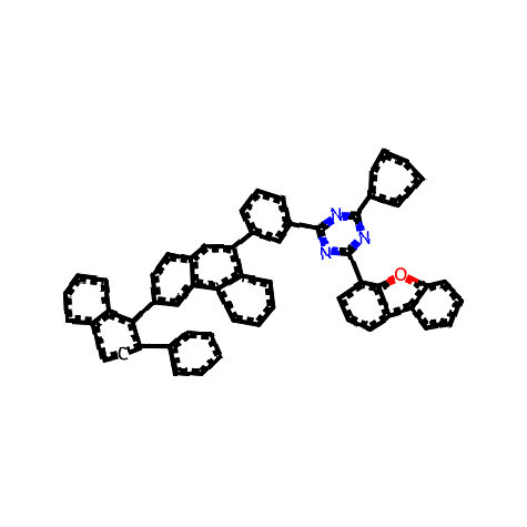 c1ccc(-c2nc(-c3cccc(-c4cc5ccc(-c6c(-c7ccccc7)ccc7ccccc67)cc5c5ccccc45)c3)nc(-c3cccc4c3oc3ccccc34)n2)cc1